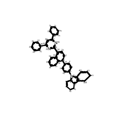 C1=Cc2c(c3c(n2-c2ccc(-c4ccc(-c5nc(-c6ccccc6)cc(-c6ccccc6)n5)c5ccccc45)cc2)C=CCC3)CC1